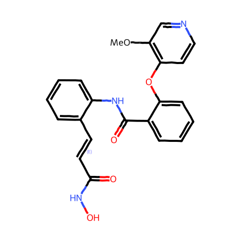 COc1cnccc1Oc1ccccc1C(=O)Nc1ccccc1/C=C/C(=O)NO